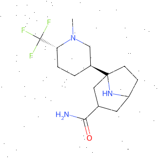 CN1C[C@@H](C23CCC(CC(C(N)=O)C2)N3)CC[C@@H]1C(F)(F)F